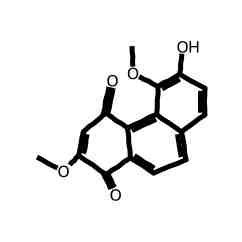 COC1=CC(=O)c2c(ccc3ccc(O)c(OC)c23)C1=O